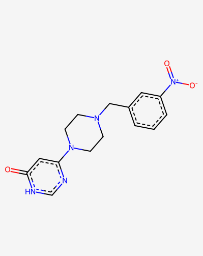 O=c1cc(N2CCN(Cc3cccc([N+](=O)[O-])c3)CC2)nc[nH]1